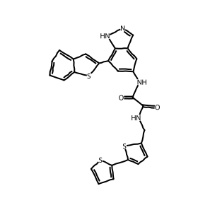 O=C(NCc1ccc(-c2cccs2)s1)C(=O)Nc1cc(-c2cc3ccccc3s2)c2[nH]ncc2c1